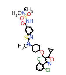 CN(c1nc2ccc(C(=O)NS(=O)(=O)N(C)C)cc2s1)C1CCC(OCc2c(-c3c(Cl)cccc3Cl)noc2C2CC2)CC1